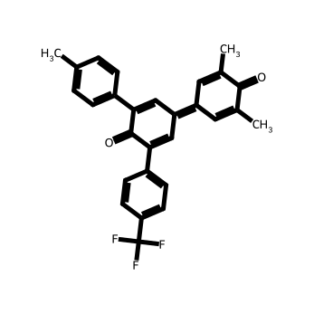 CC1=CC(=C2C=C(c3ccc(C)cc3)C(=O)C(c3ccc(C(F)(F)F)cc3)=C2)C=C(C)C1=O